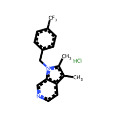 Cc1c(C)n(Cc2ccc(C(F)(F)F)cc2)c2cnccc12.Cl